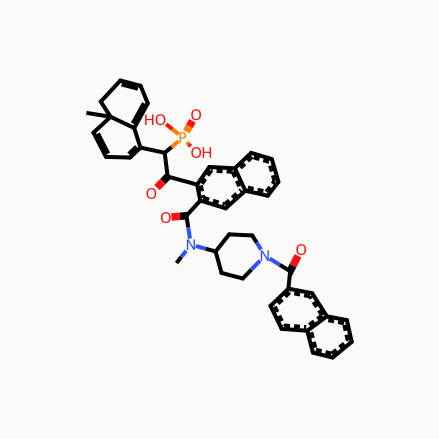 CN(C(=O)c1cc2ccccc2cc1C(=O)C(C1=CC=CC2(C)CC=CC=C12)P(=O)(O)O)C1CCN(C(=O)c2ccc3ccccc3c2)CC1